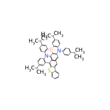 CC(C)c1ccc(N2c3ccc(C(C)C)cc3B3c4cc(C(C)C)ccc4N(c4ccc(C(C)C)cc4-c4cccc5c4sc4ccccc45)c4cccc2c43)cc1